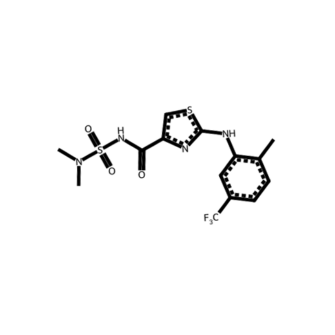 Cc1ccc(C(F)(F)F)cc1Nc1nc(C(=O)NS(=O)(=O)N(C)C)cs1